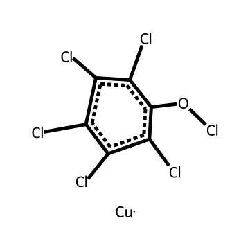 ClOc1c(Cl)c(Cl)c(Cl)c(Cl)c1Cl.[Cu]